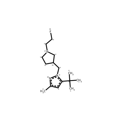 Cc1cc(C(C)(C)C)n(CC2CCN(CCF)C2)n1